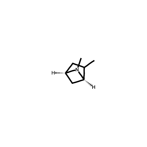 CC1C[C@@H]2C[C@H]1N2C